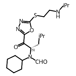 CC(C)C[C@@H](C(=O)c1nnc(SCCNC(C)C)o1)N(C=O)C1CCCCC1